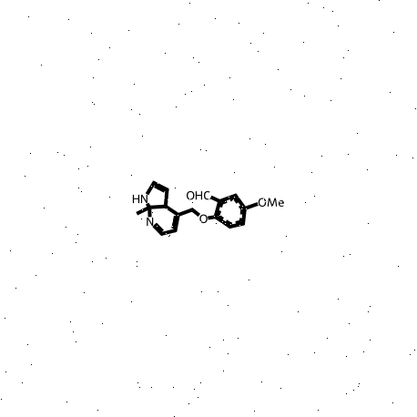 COc1ccc(OCC2=CC=NC3(C)NC=CC23)c(C=O)c1